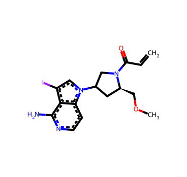 C=CC(=O)N1CC(n2cc(I)c3c(N)nccc32)C[C@@H]1COC